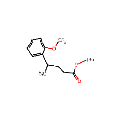 CC(C)(C)OC(=O)CCC(C#N)c1ccccc1OC(F)(F)F